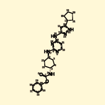 O=C(N[C@H]1CC[C@H](Nc2nccc(Nc3cc(C4CCCC4)[nH]n3)n2)CC1)Oc1ccccc1